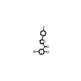 O=C(c1ccc(-c2ccc(F)cc2)s1)c1cc(Br)ccc1Cl